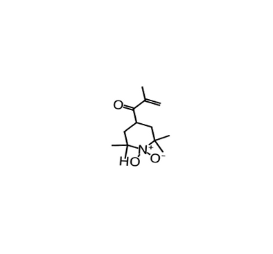 C=C(C)C(=O)C1CC(C)(C)[N+]([O-])(O)C(C)(C)C1